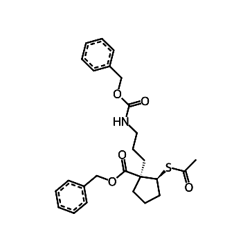 CC(=O)S[C@H]1CCC[C@@]1(CCCNC(=O)OCc1ccccc1)C(=O)OCc1ccccc1